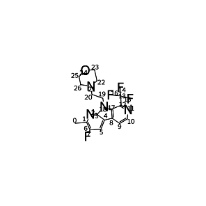 Cc1nc2c(cc1F)c1ccnc(C(F)(F)F)c1n2CCN1CCOCC1